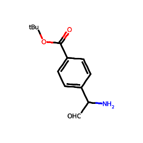 CC(C)(C)OC(=O)c1ccc(C(N)C=O)cc1